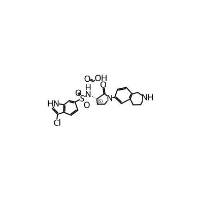 O=C1[C@@H](NS(=O)(=O)c2ccc3c(Cl)c[nH]c3c2)CCN1c1ccc2c(c1)CCNC2.O=CO